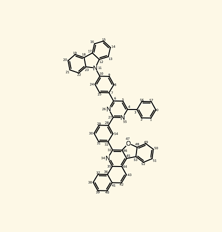 c1ccc(-c2cc(-c3ccc(-n4c5ccccc5c5ccccc54)cc3)nc(-c3cccc(-c4nc5c6ccccc6ccc5c5c4oc4ccccc45)c3)n2)cc1